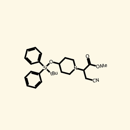 COC(=O)C(CC#N)N1CCC(O[Si](c2ccccc2)(c2ccccc2)C(C)(C)C)CC1